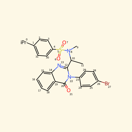 CC(C)c1ccc(S(=O)(=O)N(C)C(C)c2nc3ccccc3c(=O)n2-c2ccc(Br)cc2)cc1